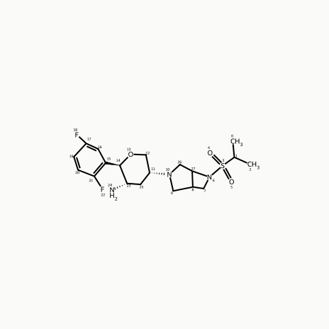 CC(C)S(=O)(=O)N1CC2CN([C@H]3CO[C@H](c4cc(F)ccc4F)[C@@H](N)C3)CC21